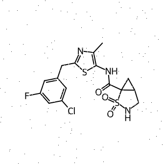 Cc1nc(Cc2cc(F)cc(Cl)c2)sc1NC(=O)C12CC1CNS2(=O)=O